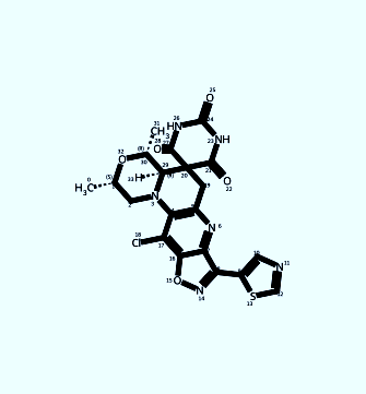 C[C@H]1CN2c3c(nc4c(-c5cncs5)noc4c3Cl)CC3(C(=O)NC(=O)NC3=O)[C@@H]2[C@@H](C)O1